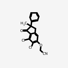 CC1(c2ccccc2)Cc2cc(OCC#N)c(Cl)c(Cl)c2C1=O